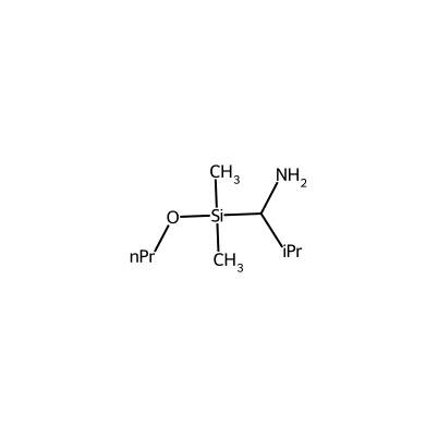 CCCO[Si](C)(C)C(N)C(C)C